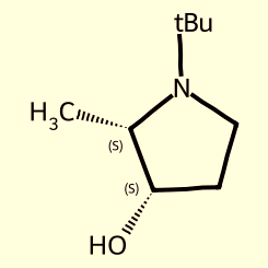 C[C@H]1[C@@H](O)CCN1C(C)(C)C